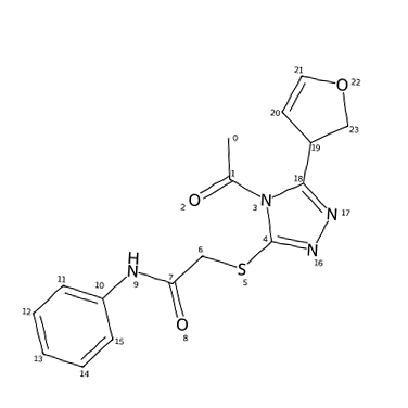 CC(=O)n1c(SCC(=O)Nc2ccccc2)nnc1C1C=COC1